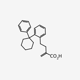 C=C(CCc1ccccc1C1(c2ccccc2)CCCCC1)C(=O)O